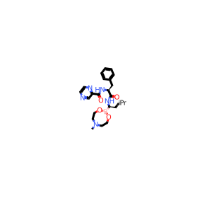 CC(C)C[C@H](NC(=O)[C@H](Cc1ccccc1)NC(=O)c1cnccn1)B1OCCN(C)CCO1